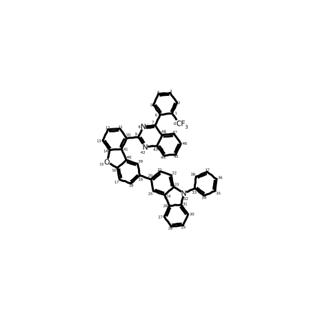 FC(F)(F)c1ccccc1-c1nc(-c2cccc3oc4ccc(-c5ccc6c(c5)c5ccccc5n6-c5ccccc5)cc4c23)nc2ccccc12